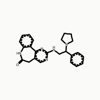 O=C1Cc2cnc(NCC(c3ccccc3)N3CCCC3)nc2-c2ccccc2N1